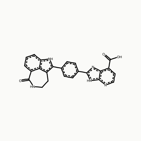 O=C(O)c1ccnc2[nH]c(-c3ccc(-c4[nH]c5cccc6c5c4CCNC6=O)cc3)nc12